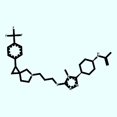 C=C(C)N[C@H]1CC[C@@H](c2nnc(SCCCN3CCC4(CC4c4ccc(C(F)(F)F)cc4)C3)n2C)CC1